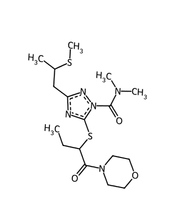 CCC(Sc1nc(CC(C)SC)nn1C(=O)N(C)C)C(=O)N1CCOCC1